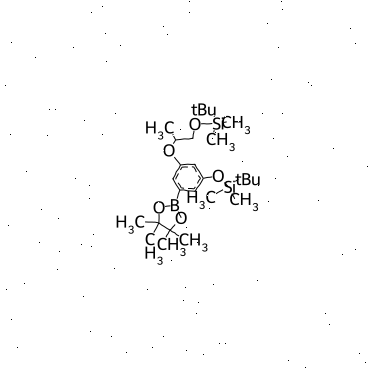 CC(CO[Si](C)(C)C(C)(C)C)Oc1cc(O[Si](C)(C)C(C)(C)C)cc(B2OC(C)(C)C(C)(C)O2)c1